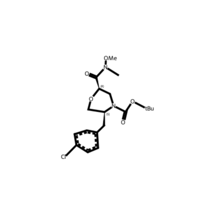 CON(C)C(=O)[C@H]1CN(C(=O)OC(C)(C)C)[C@@H](Cc2ccc(Cl)cc2)CO1